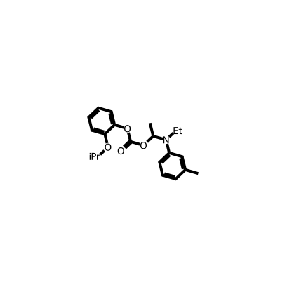 CCN(c1cccc(C)c1)C(C)OC(=O)Oc1ccccc1OC(C)C